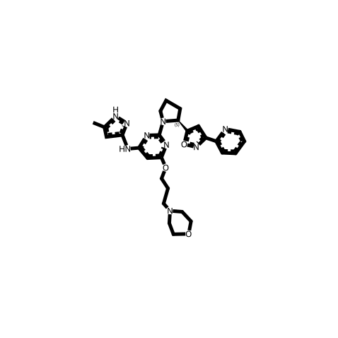 Cc1cc(Nc2cc(OCCCN3CCOCC3)nc(N3CCC[C@H]3c3cc(-c4ccccn4)no3)n2)n[nH]1